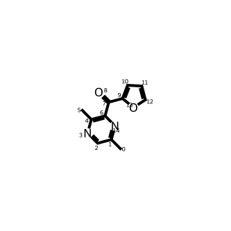 Cc1cnc(C)c(C(=O)c2ccco2)n1